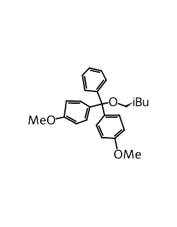 CC[C@H](C)COC(c1ccccc1)(c1ccc(OC)cc1)c1ccc(OC)cc1